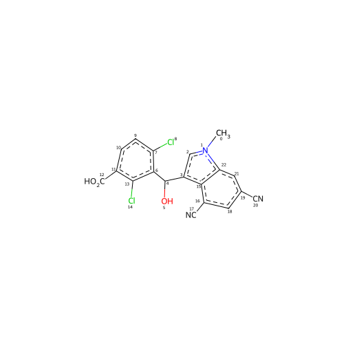 Cn1cc(C(O)c2c(Cl)ccc(C(=O)O)c2Cl)c2c(C#N)cc(C#N)cc21